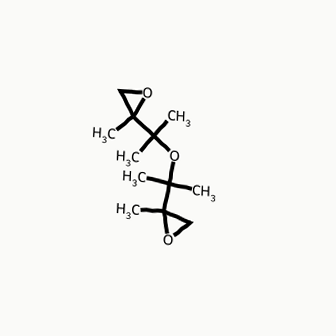 CC(C)(OC(C)(C)C1(C)CO1)C1(C)CO1